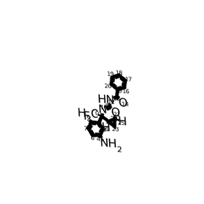 C[C@@]1(c2cc(N)ccc2F)N=C(NC(=O)c2ccccc2)O[C@@H]2C[C@@H]21